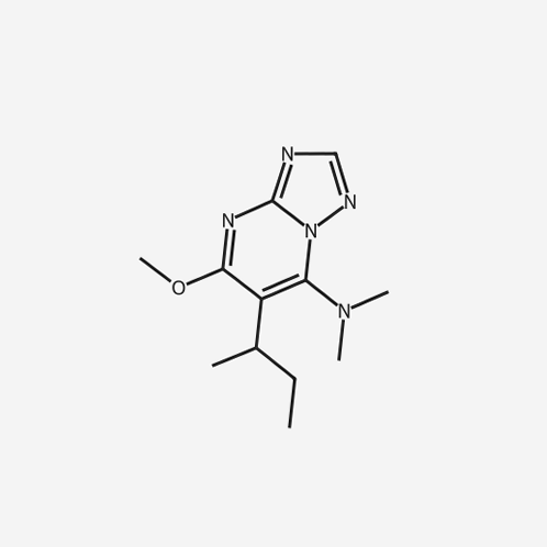 CCC(C)c1c(OC)nc2ncnn2c1N(C)C